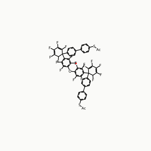 CC(=O)Sc1ccc(-c2ccc(C3(c4c(F)c(F)c(Oc5c(F)c(F)c(C6(c7ccc(-c8ccc(SC(C)=O)cc8)cc7)C(F)=C(F)C(F)=C(F)C6F)c(F)c5F)c(F)c4F)C(F)=C(F)C(F)=C(F)C3F)cc2)cc1